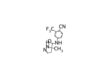 CC1(C(=O)Nc2ccc(C#N)c(C(F)(F)F)c2)CC=NN1